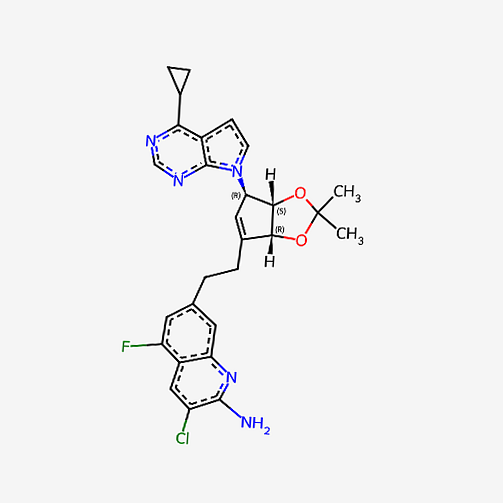 CC1(C)O[C@@H]2[C@H](O1)C(CCc1cc(F)c3cc(Cl)c(N)nc3c1)=C[C@H]2n1ccc2c(C3CC3)ncnc21